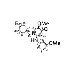 COc1cccc(Nc2nc(=O)c(OC)cn2Cc2ccc(F)c(F)c2)c1C